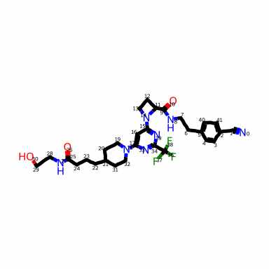 N#Cc1ccc(CCNC(=O)C2CCN2c2cc(N3CCC(CCCC(=O)NCCO)CC3)nc(C(F)(F)F)n2)cc1